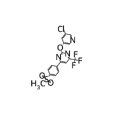 CS(=O)(=O)c1ccc(-c2cc(C(F)(F)F)nc(Oc3cncc(Cl)c3)n2)cc1